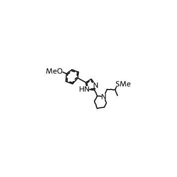 COc1ccc(-c2cnc(C3CCCCN3CC(C)SC)[nH]2)cc1